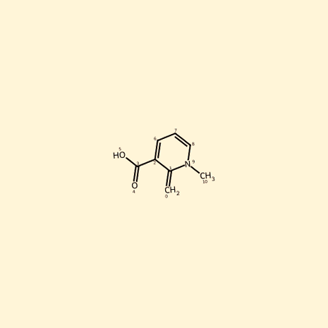 C=C1C(C(=O)O)=CC=CN1C